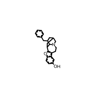 Oc1ccc2oc3c(c2c1)CCN1CC2CC(Cc4ccccc4)C1C3C2